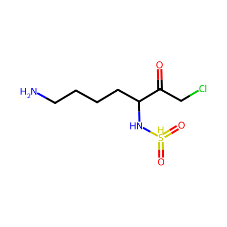 NCCCCC(N[SH](=O)=O)C(=O)CCl